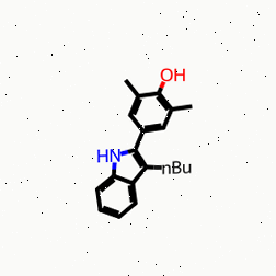 CCCCc1c(-c2cc(C)c(O)c(C)c2)[nH]c2ccccc12